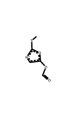 CSc1ncc(OC=O)o1